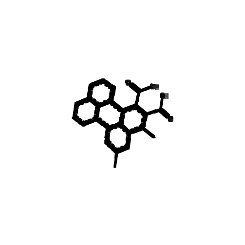 Cc1cc2c(C)c(C(=O)O)c(C(=O)O)c3c4cccc5cccc(c(c1)c23)c54